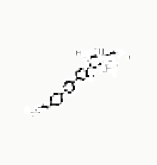 C=CCCN1C(C)(C)CC(c2ccc(-c3ccc(C4CCC(/C=C/C)CC4)cc3)cc2F)CC1(C)C